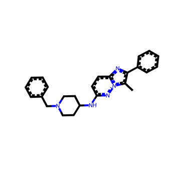 Cc1c(-c2ccccc2)nc2ccc(NC3CCN(Cc4ccccc4)CC3)nn12